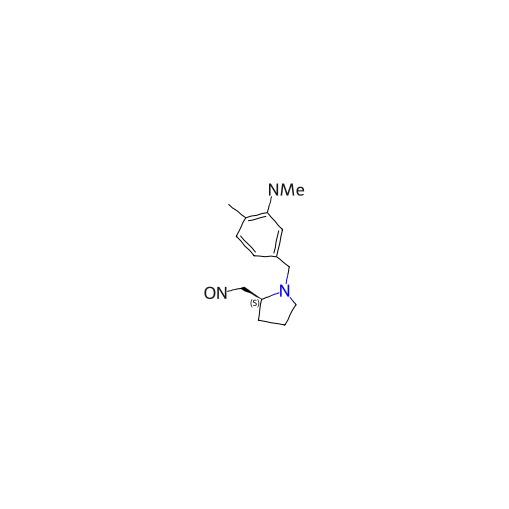 CNc1cc(CN2CCC[C@H]2CN=O)ccc1C